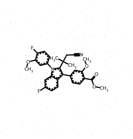 COC(=O)c1ccc(-c2c(C(C)(C)CC#N)n(-c3ccc(F)c(OC)c3)c3cc(F)ccc23)cc1OC